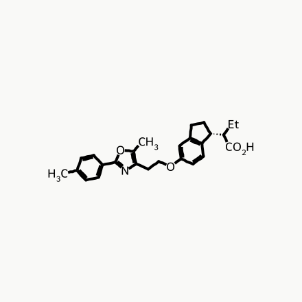 CCC(C(=O)O)[C@H]1CCc2cc(OCCc3nc(-c4ccc(C)cc4)oc3C)ccc21